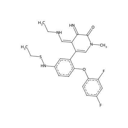 CCN/C=C1\C(=N)C(=O)N(C)C=C1c1cc(NSCC)ccc1Oc1ccc(F)cc1F